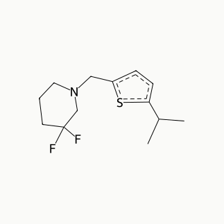 CC(C)c1ccc(CN2CCCC(F)(F)C2)s1